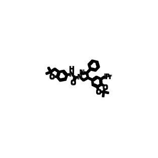 CC(C)c1cc(C2CN(C(=O)Nc3ccc4c(c3)CC(C)(C)O4)N=C2c2ccccc2)cc2c1OC(C)(C)O2